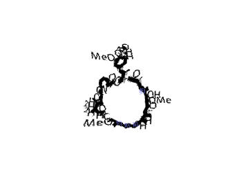 [2H]C1([2H])C[C@H]2C[C@H](OC)/C(C)=C/C=C/C=C/[C@@]([2H])(C)C([2H])(C)[C@@H](C)C(=O)[C@H](OC)[C@H](O)/C(C)=C/[C@@H](C)C(=O)C[C@@H]([C@H](C)C[C@@H]3CC[C@@H](OP(C)(=O)C([2H])([2H])[2H])[C@H](OC)C3)OC(=O)[C@@H]3CCCCN3C(=O)C(=O)[C@](O)(O2)[C@@H]1C